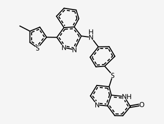 Cc1csc(-c2nnc(Nc3ccc(Sc4ccnc5ccc(=O)[nH]c45)cc3)c3ccccc23)c1